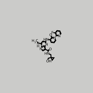 CNc1cc(Nc2cccn(-c3ncccc3F)c2=O)nc2c(C(=O)NCC3(CO)CC3)cnn12